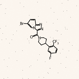 O=C(c1nnc2ccc(Br)cn12)N1CCC(c2cc(F)ccc2C(F)(F)F)CC1